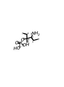 CCC(N)C(C)(CC)OP(=O)(O)O